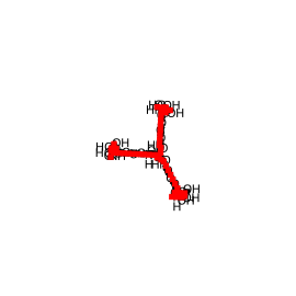 CC(=O)NC1C(OCCOCCOCCOCCNC(=O)CCC(CCC(=O)NCCOCCOCCOCCOC2OC(CO)C(O)C(O)C2NC(C)=O)(CCC(=O)NCCOCCOCCOCCOC2OC(CO)C(O)C(O)C2NC(C)=O)C(C)C)OC(CO)C(O)C1O